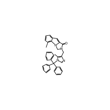 Cc1cccc2cc3n(c12)CN(Cc1ncn(C(c2ccccc2)(c2ccccc2)c2ccccc2)c1C)C3=O